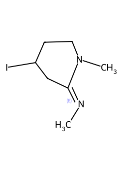 C/N=C1\CC(I)CCN1C